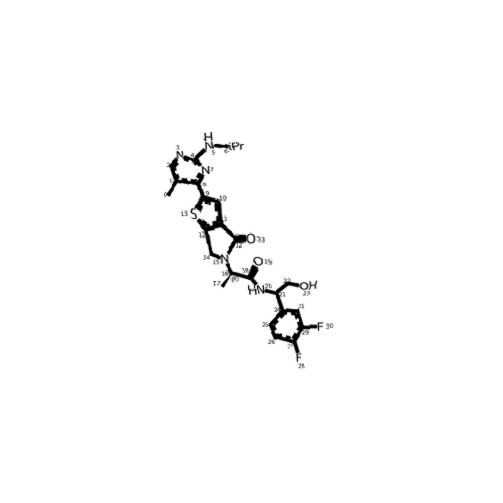 Cc1cnc(NC(C)C)nc1-c1cc2c(s1)CN([C@H](C)C(=O)NC(CO)c1ccc(F)c(F)c1)C2=O